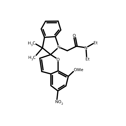 CCN(CC)C(=O)CN1c2ccccc2C(C)(C)C12C=Cc1cc([N+](=O)[O-])cc(OC)c1O2